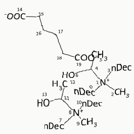 CCCCCCCCCC[N+](C)(CCCCCCCCCC)C(C)O.CCCCCCCCCC[N+](C)(CCCCCCCCCC)C(C)O.O=C([O-])CCCCC(=O)[O-]